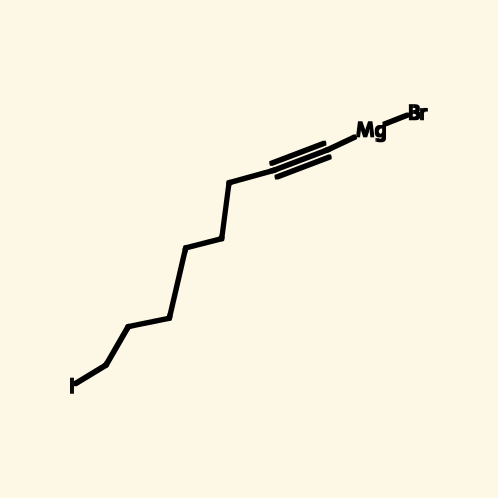 [Br][Mg][C]#CCCCCCCI